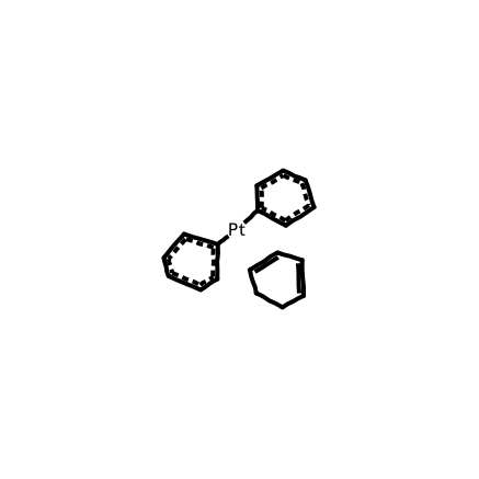 C1=CCCC=C1.c1cc[c]([Pt][c]2ccccc2)cc1